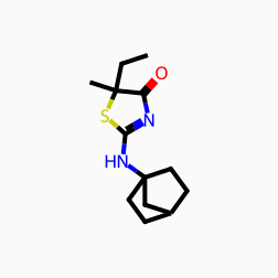 CCC1(C)SC(NC23CCC(CC2)C3)=NC1=O